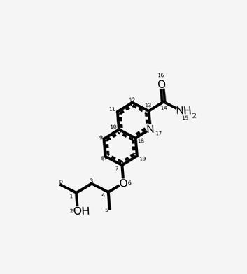 CC(O)CC(C)Oc1[c]cc2ccc(C(N)=O)nc2c1